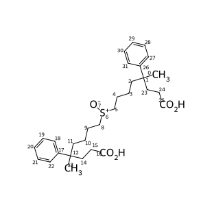 CC(CCCC[S+]([O-])CCCCC(C)(CCC(=O)O)c1ccccc1)(CCC(=O)O)c1ccccc1